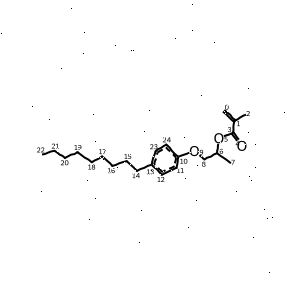 C=C(C)C(=O)OC(C)COc1ccc(CCCCCCCCC)cc1